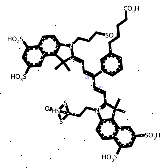 CC1(C)C(/C=C/C(=C/C=C2/N(CCCS(=O)(=O)O)c3ccc4c(S(=O)(=O)O)cc(S(=O)(=O)O)cc4c3C2(C)C)c2cccc(CCCCC(=O)O)c2)=[N+](CCC23S[SH]2(=O)S3)c2ccc3c(S(=O)(=O)O)cc(S(=O)(=O)O)cc3c21